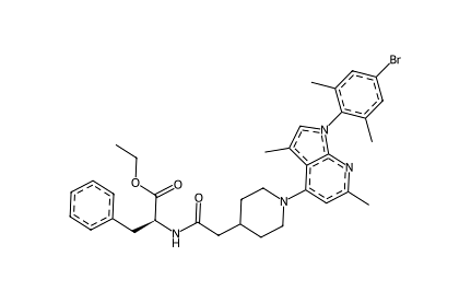 CCOC(=O)[C@H](Cc1ccccc1)NC(=O)CC1CCN(c2cc(C)nc3c2c(C)cn3-c2c(C)cc(Br)cc2C)CC1